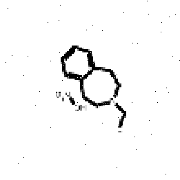 ClCN1CCc2ccccc2CC1.O=[N+]([O-])O